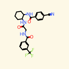 N#Cc1ccc(C(=O)NC2CCCCC2NC(=O)CNC(=O)c2cccc(C(F)(F)F)c2)cc1